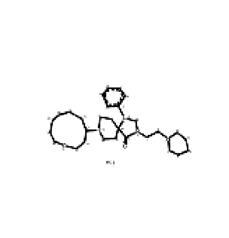 Cl.O=C1N(CCN2CCCCC2)CN(c2ccccc2)C12CCN(C1CCCCCCCCC1)CC2